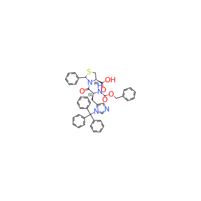 O=C(N[C@@H](Cc1cncn1C(c1ccccc1)(c1ccccc1)c1ccccc1)C(=O)N1C(c2ccccc2)SC[C@H]1C(=O)O)OCc1ccccc1